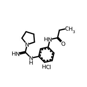 CCC(=O)Nc1cccc(NC(=N)N2CCCC2)c1.Cl